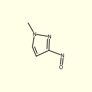 Cn1ccc(N=O)n1